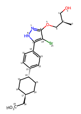 C[C@H](CO)COc1n[nH]c(-c2ccc([C@H]3CC[C@H](CC(=O)O)CC3)cc2)c1Br